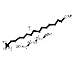 [13CH3][13CH2][13CH2][13CH2][13CH2][13CH2][13CH2][13CH2][13CH2][13CH2][13CH2][13CH2][13CH2][13CH2][13CH2][13C](=O)[O-].[2H]C([2H])([2H])CCCCCCCCCCCCCCC(=O)O.[K+]